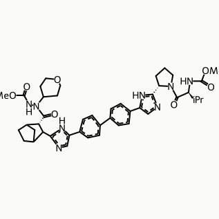 COC(=O)N[C@H](C(=O)N1CCC[C@H]1c1ncc(-c2ccc(-c3ccc(-c4cnc(C5C6CCC(C6)[C@@H]5C(=O)N(NC(=O)OC)C5CCOCC5)[nH]4)cc3)cc2)[nH]1)C(C)C